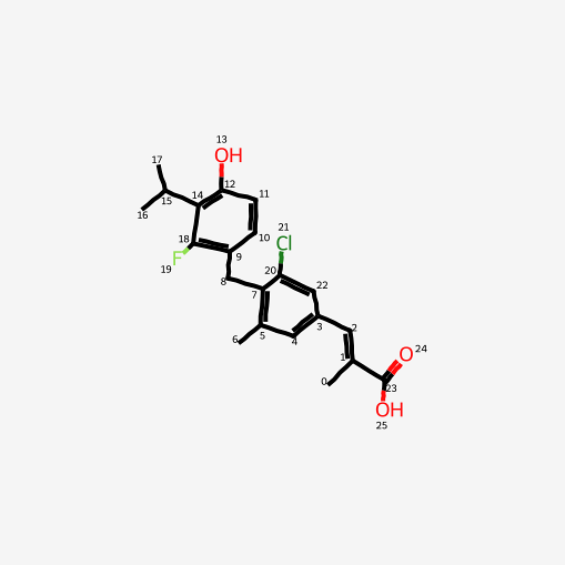 C/C(=C\c1cc(C)c(Cc2ccc(O)c(C(C)C)c2F)c(Cl)c1)C(=O)O